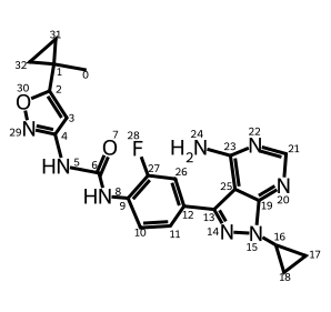 CC1(c2cc(NC(=O)Nc3ccc(-c4nn(C5CC5)c5ncnc(N)c45)cc3F)no2)CC1